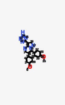 COc1ccc(-c2cnc3c(-c4nn[nH]n4)cnn3c2-c2ccc(OC)cc2)cc1